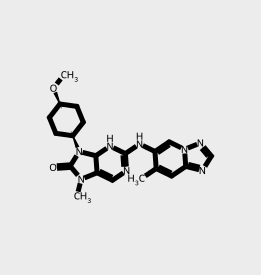 CO[C@H]1CC[C@@H](N2C(=O)N(C)C3=CN=C(Nc4cn5ncnc5cc4C)NC32)CC1